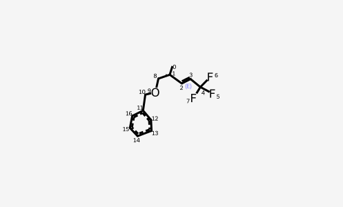 C[C](/C=C/C(F)(F)F)COCc1ccccc1